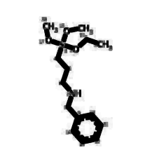 CCO[Si](CCCNCc1ccccc1)(OC)OC